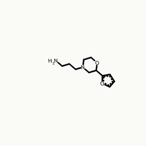 NCCCN1CCOC(c2ccco2)C1